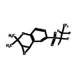 CC1(C)Oc2ccc(S(=O)(=O)C(F)(F)C(F)(F)C(F)(F)F)cc2C2OC21